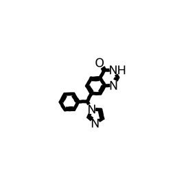 O=c1[nH]cnc2cc(C(c3ccccc3)n3ccnc3)ccc12